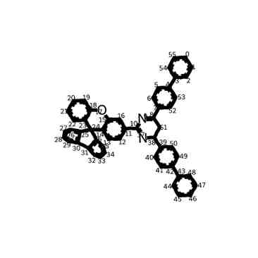 c1ccc(-c2ccc(C3=NC(c4ccc5c(c4)Oc4ccccc4C54c5ccccc5-c5ccccc54)=NC(c4ccc(-c5ccccc5)cc4)C3)cc2)cc1